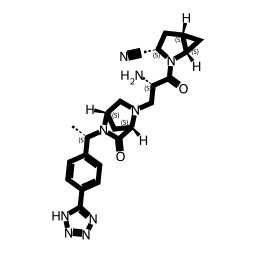 C[C@@H](c1ccc(-c2nnn[nH]2)cc1)N1C(=O)[C@@H]2C[C@H]1CN2C[C@H](N)C(=O)N1[C@H](C#N)C[C@@H]2C[C@@H]21